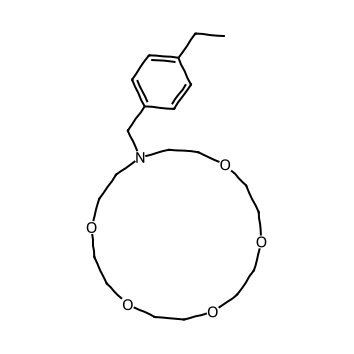 CCc1ccc(CN2CCOCCOCCOCCOCCOCC2)cc1